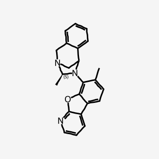 Cc1ccc2c(oc3ncccc32)c1N1C2CN(Cc3ccccc32)[C@@H]1C